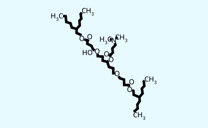 CCCCCC(CCCCC)CCOC(=O)CCCOCCCC(CCCOC(O)CCC(=O)OCCC(CCCCC)CCCCC)OC(=O)CCCN(C)C